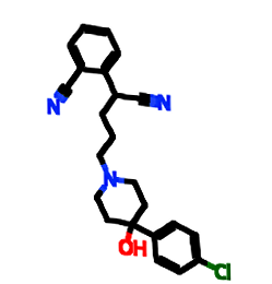 N#Cc1ccccc1C(C#N)CCCN1CCC(O)(c2ccc(Cl)cc2)CC1